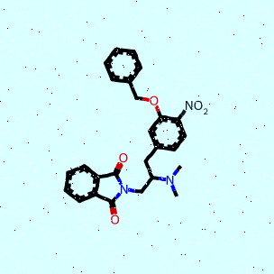 CN(C)C(Cc1ccc([N+](=O)[O-])c(OCc2ccccc2)c1)CN1C(=O)c2ccccc2C1=O